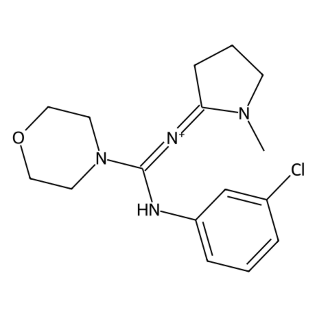 CN1CCCC1=[N+]=C(Nc1cccc(Cl)c1)N1CCOCC1